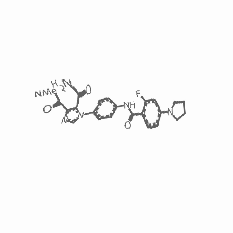 CNC(=O)c1ncn(-c2ccc(NC(=O)c3ccc(N4CCCC4)cc3F)cc2)c1C(N)=O